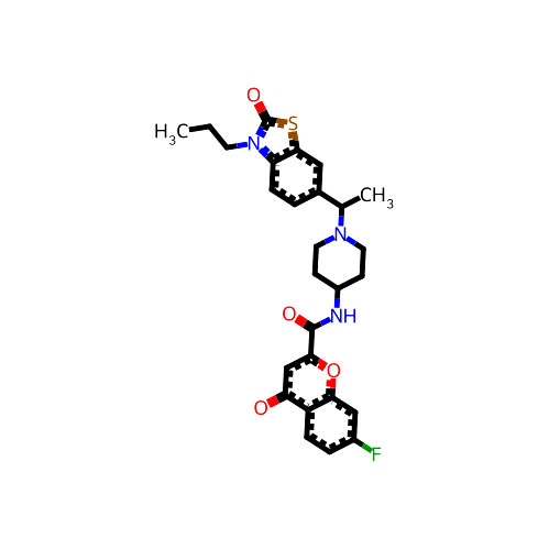 CCCn1c(=O)sc2cc(C(C)N3CCC(NC(=O)c4cc(=O)c5ccc(F)cc5o4)CC3)ccc21